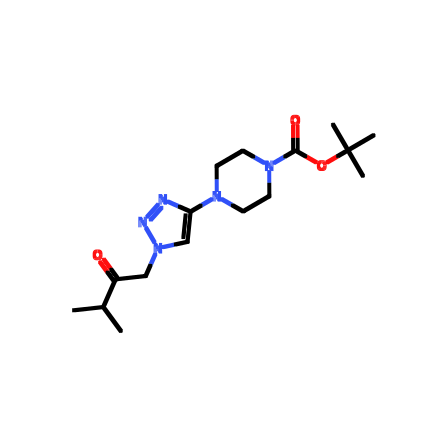 CC(C)C(=O)Cn1cc(N2CCN(C(=O)OC(C)(C)C)CC2)nn1